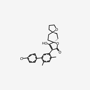 Cc1cc(C)c(-c2ccc(Cl)cc2)cc1C1=C(O)[C@]2(CC[C@]3(CCCO3)CC2)OC1=O